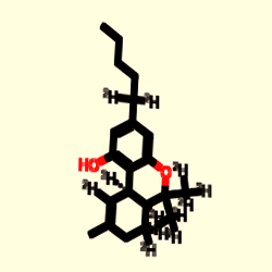 [2H]C1=C(C)CC([2H])([2H])[C@@]2([2H])C(C([2H])([2H])[2H])(C([2H])([2H])[2H])Oc3cc(C([2H])([2H])CCCC)cc(O)c3[C@]12[2H]